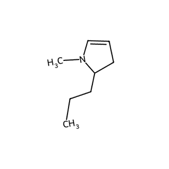 CCCC1CC=CN1C